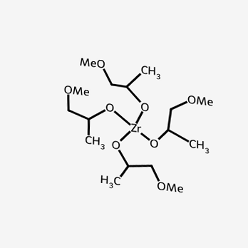 COCC(C)[O][Zr]([O]C(C)COC)([O]C(C)COC)[O]C(C)COC